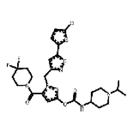 CC(C)N1CCC(NC(=O)Oc2cc(C(=O)N3CCC(F)(F)CC3)n(Cc3cc(-c4ccc(Cl)s4)on3)n2)CC1